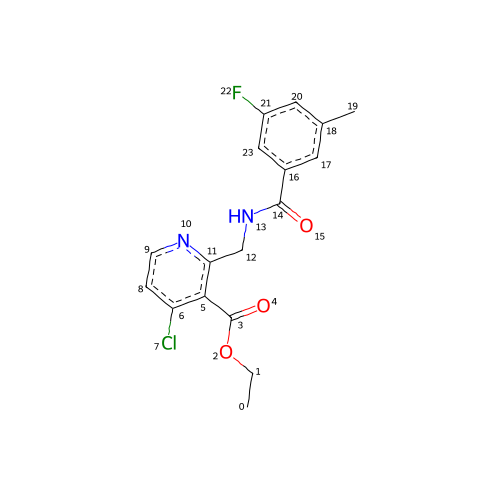 CCOC(=O)c1c(Cl)ccnc1CNC(=O)c1cc(C)cc(F)c1